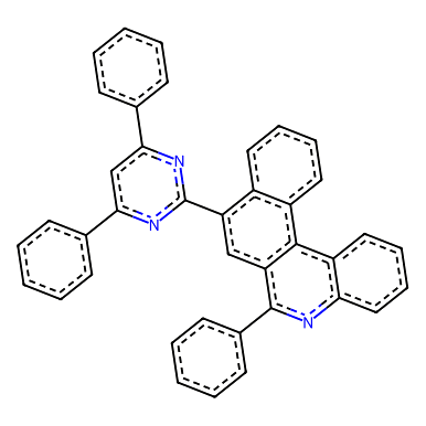 c1ccc(-c2cc(-c3ccccc3)nc(-c3cc4c(-c5ccccc5)nc5ccccc5c4c4ccccc34)n2)cc1